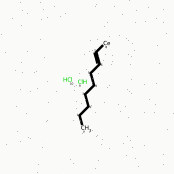 CCCCCCC=[CH][Ce].Cl.Cl